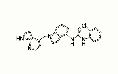 O=C(Nc1ccccc1Cl)Nc1cccc2c1ccn2Cc1ccnc2[nH]ccc12